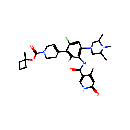 CC1CN(c2cc(F)c(C3=CCN(C(=O)OC4(C)CCC4)CC3)c(F)c2NC(=O)c2c[nH]c(=O)cc2C(F)(F)F)CC(C)N1C